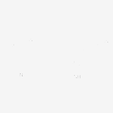 COc1ccc(N(C)CCCc2ccc(NC(=O)c3cccc4c(=O)c5ccccc5sc34)cc2)cc1OC